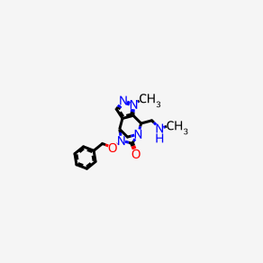 CNCC1c2c(cnn2C)C2CN1C(=O)N2OCc1ccccc1